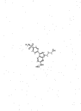 CCCCNc1ncc2c(-c3ccc(S(N)(=O)=O)cc3)nn(CCCO)c2n1